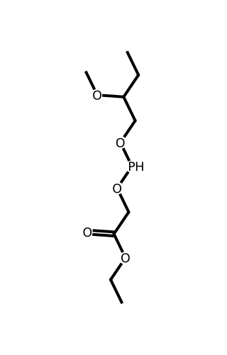 CCOC(=O)COPOCC(CC)OC